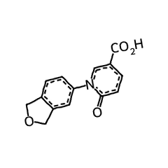 O=C(O)c1ccc(=O)n(-c2ccc3c(c2)COC3)c1